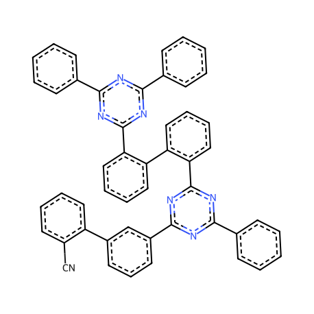 N#Cc1ccccc1-c1cccc(-c2nc(-c3ccccc3)nc(-c3ccccc3-c3ccccc3-c3nc(-c4ccccc4)nc(-c4ccccc4)n3)n2)c1